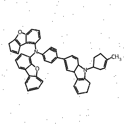 CC1=CCC(N2C3=C(C=CCC3)C3C=C(c4c#cc(N(c5cccc6c5oc5ccccc56)c5cccc6oc7c(c56)C=CC7)cc4)C=CC32)CC1